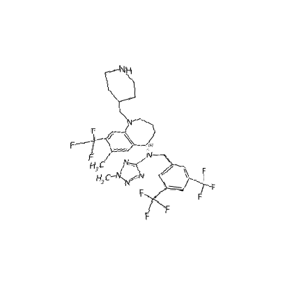 Cc1cc2c(cc1C(F)(F)F)N(CC1CCNCC1)CCC[C@@H]2N(Cc1cc(C(F)(F)F)cc(C(F)(F)F)c1)c1nnn(C)n1